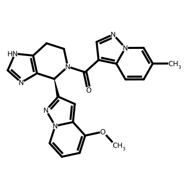 COc1cccn2nc([C@H]3c4nc[nH]c4CCN3C(=O)c3cnn4cc(C)ccc34)cc12